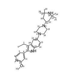 CCc1c(-c2ccnc(OC)c2)[nH]c2ccc(N3CCN(C4CC(C)(C)NC(C)(C)C4)CC3)cc12